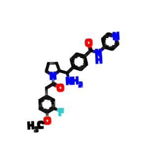 COc1ccc(CC(=O)N2CCCC2C(N)c2ccc(C(=O)Nc3ccncc3)cc2)cc1F